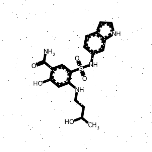 CC(O)CCNc1cc(O)c(C(N)=O)cc1S(=O)(=O)Nc1ccc2cc[nH]c2c1